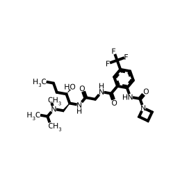 CCC[C@H](O)[C@H](CN(C)C(C)C)NC(=O)CNC(=O)c1cc(C(F)(F)F)ccc1NC(=O)N1CCC1